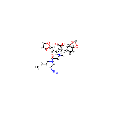 CCCCN(CCN)C(=O)CN1C[C@H](c2ccc3c(c2)OCO3)[C@@H](C(=O)O)[C@@H]1CCC1OCCO1